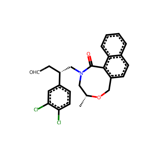 C[C@@H]1CN(C[C@@H](CC=O)c2ccc(Cl)c(Cl)c2)C(=O)c2c(ccc3ccccc23)CO1